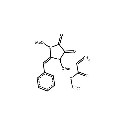 C=CC(=O)OCCCCCCCC.CON1C(=O)C(=O)N(OC)C1=Cc1ccccc1